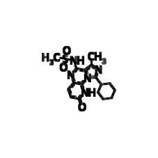 Cc1nc(C2CCCCC2)n2c1c(NS(C)(=O)=O)nc1ccc(=O)[nH]c12